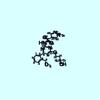 COCc1ccccc1-c1cc(OCCC(C)(C)O)nc(NS(=O)(=O)c2cnn(C)c2)n1